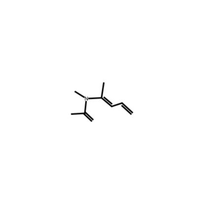 C=C/C=C(\C)N(C)C(=C)C